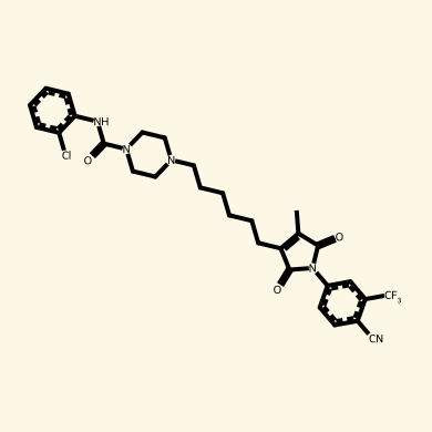 CC1=C(CCCCCCN2CCN(C(=O)Nc3ccccc3Cl)CC2)C(=O)N(c2ccc(C#N)c(C(F)(F)F)c2)C1=O